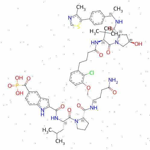 Cc1ncsc1-c1ccc([C@H](C)NC(=O)[C@@H]2C[C@@H](O)CN2C(=O)[C@@H](NC(=O)CCCc2cccc(OC[C@H](CCC(N)=O)NC(=O)[C@@H]3CCCN3C(=O)[C@H](CC(C)C)NC(=O)c3cc4cc(C(=O)P(=O)(O)O)ccc4[nH]3)c2Cl)C(C)(C)C)cc1